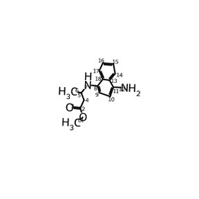 COC(=O)CC(C)Nc1ccc(N)c2ccccc12